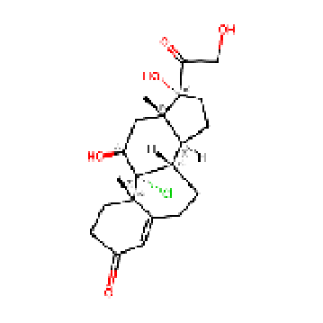 C[C@]12CCC(=O)C=C1CC[C@H]1[C@@H]3CC[C@](O)(C(=O)CO)[C@@]3(C)C[C@H](O)[C@@]12Cl